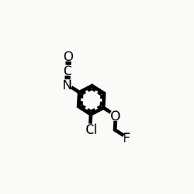 O=C=Nc1ccc(OCF)c(Cl)c1